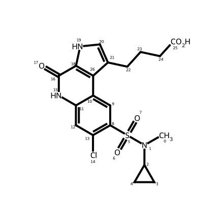 CN(C1CC1)S(=O)(=O)c1cc2c(cc1Cl)[nH]c(=O)c1[nH]cc(CCCC(=O)O)c12